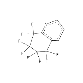 FC1(F)c2cccnc2C(F)(F)C(F)(F)C1(F)F